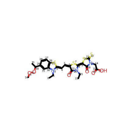 CCN1/C(=C/C=c2/s/c(=C3\SC(=S)N(CC(=O)O)C3=O)n(CC)c2=O)Sc2ccc(C(C)OOC)cc21